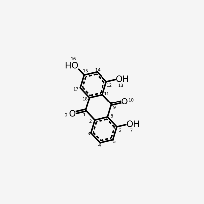 O=C1c2cccc(O)c2C(=O)c2c(O)cc(O)cc21